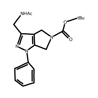 CC(=O)NCc1nn(-c2ccccc2)c2c1CN(C(=O)OC(C)(C)C)C2